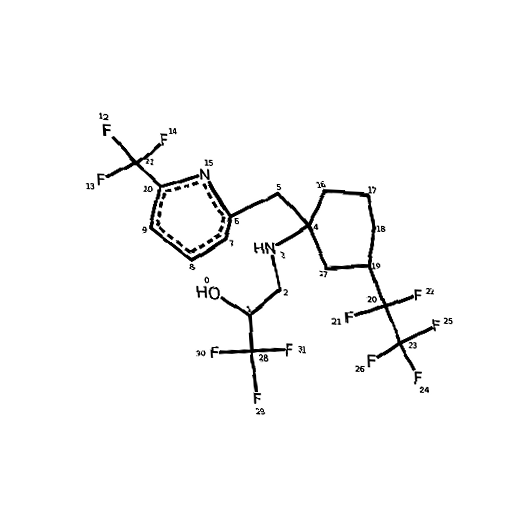 OC(CNC1(Cc2cccc(C(F)(F)F)n2)CCCC(C(F)(F)C(F)(F)F)C1)C(F)(F)F